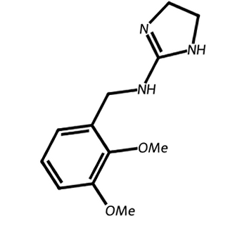 COc1cccc(CNC2=NCCN2)c1OC